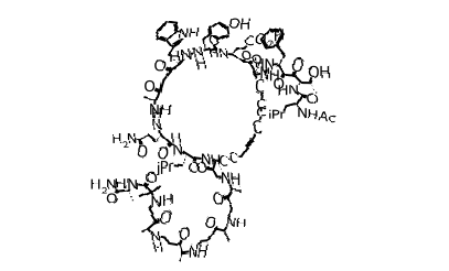 CC(=O)N[C@@H](CC(C)C)C(=O)N[C@H](C(=O)C(=O)[C@H](Cc1ccccc1)NN[C@]1(C)CCCCCC/C=C/CCC[C@@](C)(C(=O)CN[C@@H](C)C(=O)CCN[C@@H](C)C(=O)CCN[C@@H](C)C(=O)CCN[C@@H](C)C(=O)CNC(C)(C)C(=O)N[C@H](C)C(N)=O)NC(=O)[C@H](CC(C)C)NC(=O)[C@H](CCC(N)=O)NCN[C@@H](C)C(=O)CC(=O)[C@H](Cc2c[nH]c3ccccc23)NN[C@@H](Cc2ccc(O)cc2)C(=O)N[C@@H](CCC(=O)O)C(=O)C1=O)[C@@H](C)O